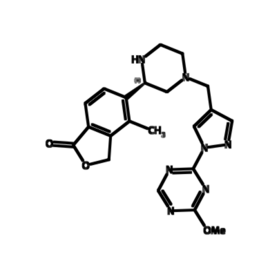 COc1ncnc(-n2cc(CN3CCN[C@H](c4ccc5c(c4C)COC5=O)C3)cn2)n1